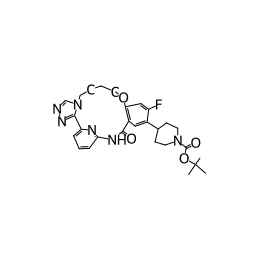 CC(C)(C)OC(=O)N1CCC(c2cc3c(cc2F)OCCCCn2cnnc2-c2cccc(n2)NC3=O)CC1